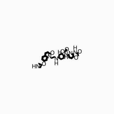 O=C1COc2ccc(N3C(=O)O[C@H]4C[C@@H](NCCn5c(=O)ccc6ccc(OC7CNC7)cc65)CC[C@@H]43)nc2N1